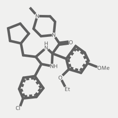 CCOc1cc(OC)ccc1C1(C(=O)N2CCN(C)CC2)NC(CC2CCCC2)C(c2ccc(Cl)cc2)N1